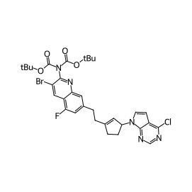 CC(C)(C)OC(=O)N(C(=O)OC(C)(C)C)c1nc2cc(CCC3=CC(n4ccc5c(Cl)ncnc54)CC3)cc(F)c2cc1Br